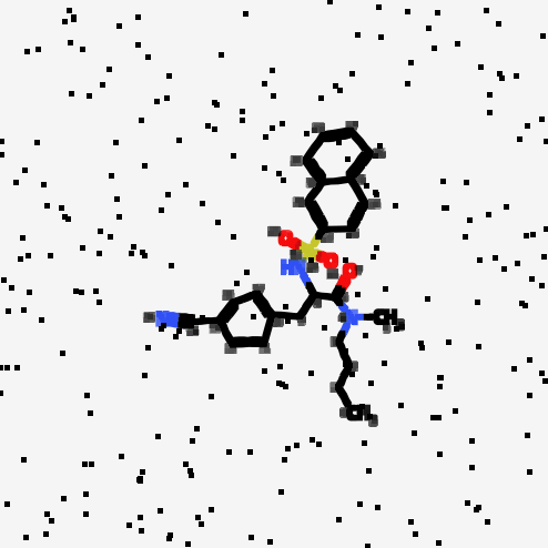 CCCCN(C)C(=O)C(Cc1ccc(C#N)cc1)NS(=O)(=O)c1ccc2ccccc2c1